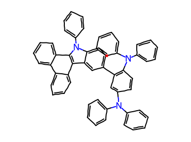 c1ccc(N(c2ccccc2)c2ccc(N(c3ccccc3)c3ccccc3)c(-c3ccc4c(c3)c3c5ccccc5c5ccccc5c3n4-c3ccccc3)c2)cc1